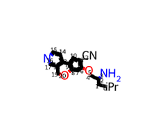 CC(C)CC(N)COc1cc2c(cc1C#N)-c1ccncc1CO2